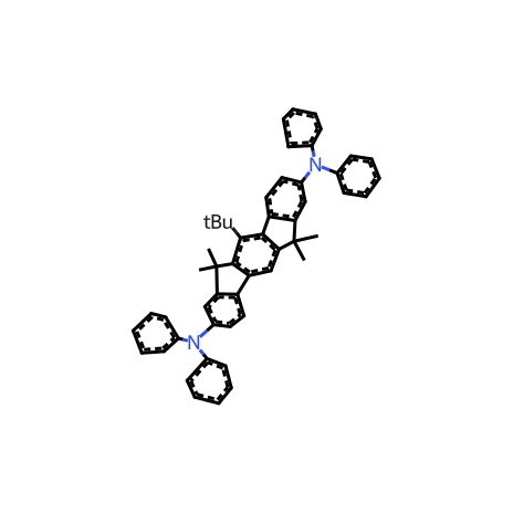 CC(C)(C)c1c2c(cc3c1C(C)(C)c1cc(N(c4ccccc4)c4ccccc4)ccc1-3)C(C)(C)c1cc(N(c3ccccc3)c3ccccc3)ccc1-2